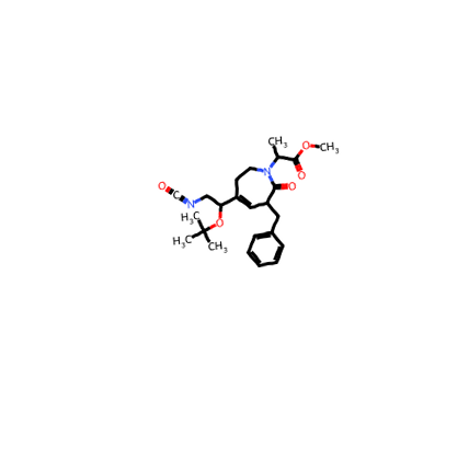 COC(=O)C(C)N1CCC(C(CN=C=O)OC(C)(C)C)=CC(Cc2ccccc2)C1=O